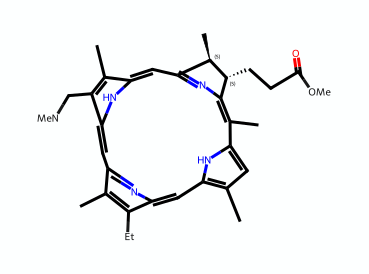 CCC1=C(C)c2cc3[nH]c(cc4nc(c(C)c5cc(C)c(cc1n2)[nH]5)[C@@H](CCC(=O)OC)[C@@H]4C)c(C)c3CNC